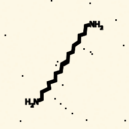 NCCCCCCCC=CCCCCCCCN